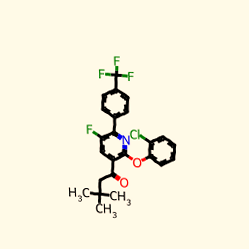 CC(C)(C)CC(=O)c1cc(F)c(-c2ccc(C(F)(F)F)cc2)nc1Oc1ccccc1Cl